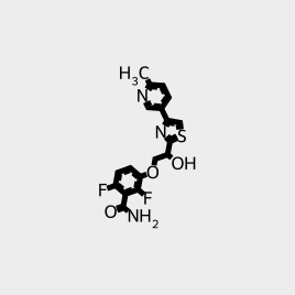 Cc1ccc(-c2csc(C(O)COc3ccc(F)c(C(N)=O)c3F)n2)cn1